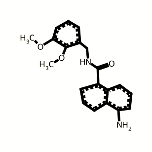 COc1cccc(CNC(=O)c2cccc3c(N)cccc23)c1OC